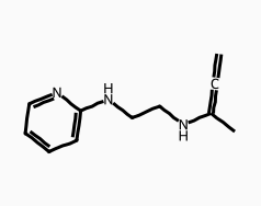 C=C=C(C)NCCNc1ccccn1